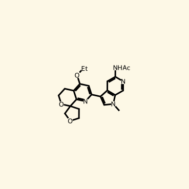 CCOc1cc(-c2cn(C)c3cnc(NC(C)=O)cc23)nc2c1CCOC21CCOC1